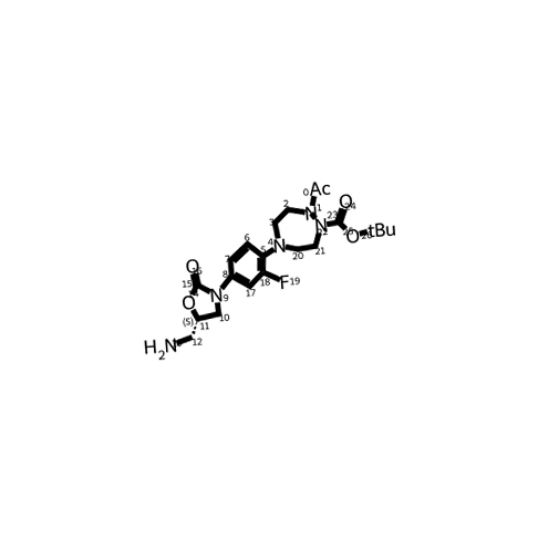 CC(=O)N1CCN(c2ccc(N3C[C@H](CN)OC3=O)cc2F)CCN1C(=O)OC(C)(C)C